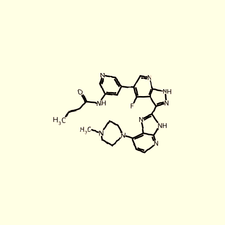 CCCC(=O)Nc1cncc(-c2cnc3[nH]nc(-c4nc5c(N6CCN(C)CC6)ccnc5[nH]4)c3c2F)c1